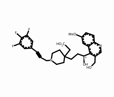 COc1ccc2ncc(CO)c([C@@H](O)CCC3(CC(=O)O)CCN(CC#Cc4cc(F)c(F)c(F)c4)CC3)c2c1